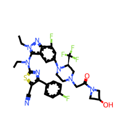 CCN(c1nc(-c2ccc(F)cc2)c(C#N)s1)c1c2cc(N3CCN(CC(=O)N4CC(O)C4)C[C@@H]3C(F)(F)F)cc(F)c2nn1CC